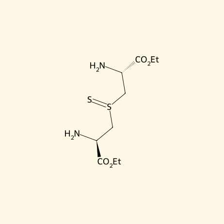 CCOC(=O)[C@@H](N)CS(=S)C[C@H](N)C(=O)OCC